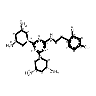 N[C@@H]1C[C@H](N)CN(c2nc(NCCc3ccc(Cl)cc3Cl)nc(N3C[C@H](N)C[C@H](N)C3)n2)C1